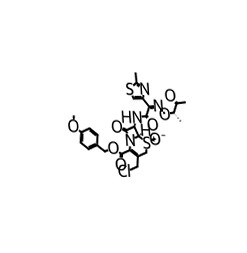 COc1ccc(COC(=O)C2=C(CCl)C[S+]([O-])[C@@H]3[C@H](NC(=O)/C(=N\O[C@@H](C)C(C)=O)c4csc(C)n4)C(=O)N23)cc1